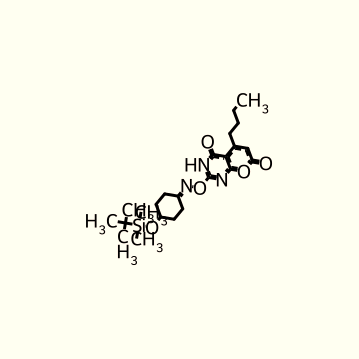 CCCCc1cc(=O)oc2nc(ON=C3CCC(O[Si](C)(C)C(C)(C)C)CC3)[nH]c(=O)c12